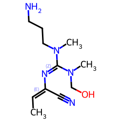 C/C=C(C#N)/N=C(\N(C)CO)N(C)CCCN